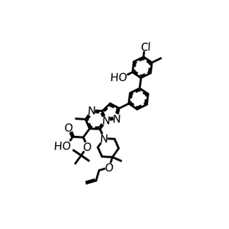 C=CCOC1(C)CCN(c2c(C(OC(C)(C)C)C(=O)O)c(C)nc3cc(-c4cccc(-c5cc(C)c(Cl)cc5O)c4)nn23)CC1